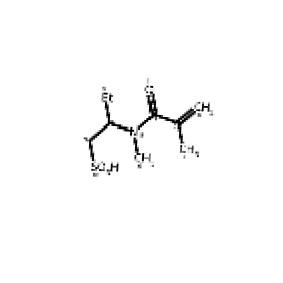 C=C(C)C(=O)N(C)C(CC)CS(=O)(=O)O